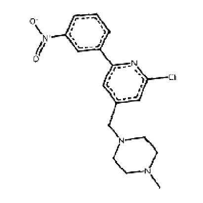 CN1CCN(Cc2cc(Cl)nc(-c3cccc([N+](=O)[O-])c3)c2)CC1